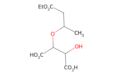 CCOC(=O)CC(C)OC(C(=O)O)C(O)C(=O)O